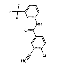 C#Cc1cc(C(=O)Nc2cccc(C(F)(F)F)c2)ccc1Cl